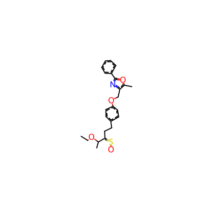 CCOC(C)C(CCc1ccc(OCc2nc(-c3ccccc3)oc2C)cc1)=S=O